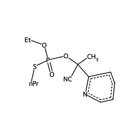 CCCSP(=O)(OCC)OC(C)(C#N)c1ccccn1